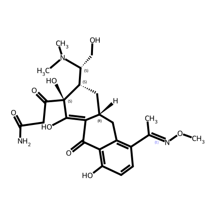 CO/N=C(\C)c1ccc(O)c2c1C[C@H]1C[C@@H]([C@@H](CO)N(C)C)[C@@](O)(C(=O)CC(N)=O)C(O)=C1C2=O